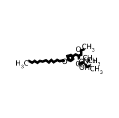 CCCCCCCCCCCCCCOc1ccc(CC(COP(=O)(O)C(CCC)N(C)C)CC(=O)CC)cc1